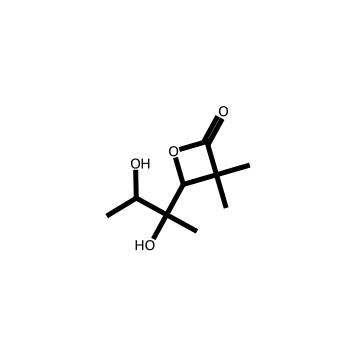 CC(O)C(C)(O)C1OC(=O)C1(C)C